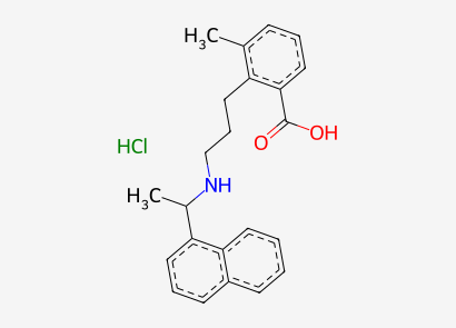 Cc1cccc(C(=O)O)c1CCCNC(C)c1cccc2ccccc12.Cl